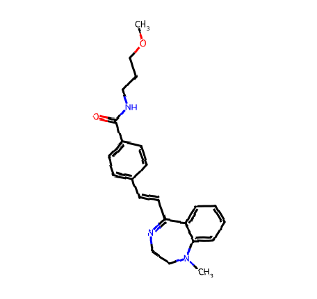 COCCCNC(=O)c1ccc(C=CC2=NCCN(C)c3ccccc32)cc1